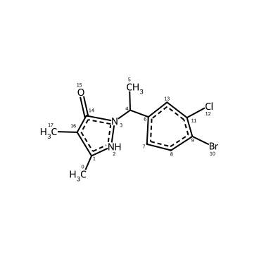 Cc1[nH]n(C(C)c2ccc(Br)c(Cl)c2)c(=O)c1C